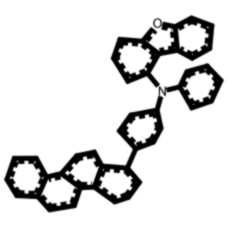 c1ccc(N(c2ccc(-c3cccc4c3ccc3c5ccccc5ccc43)cc2)c2cccc3oc4ccccc4c23)cc1